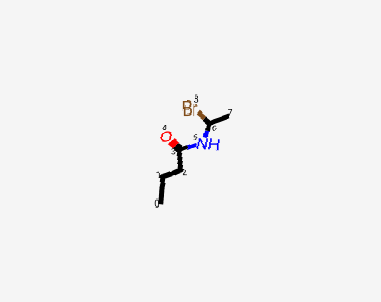 CCCC(=O)NC(C)Br